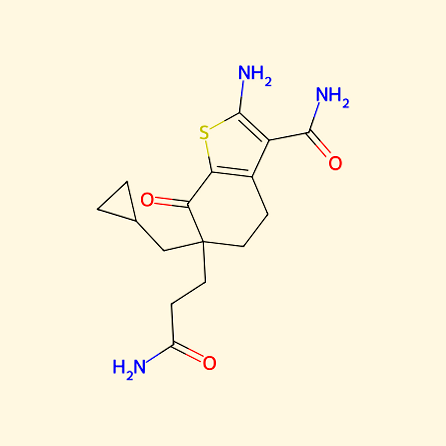 NC(=O)CCC1(CC2CC2)CCc2c(sc(N)c2C(N)=O)C1=O